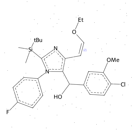 CCO/C=C\c1nc([Si](C)(C)C(C)(C)C)n(-c2ccc(F)cc2)c1C(O)c1ccc(Cl)c(OC)c1